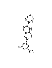 N#Cc1cc(F)cc(N2CCc3nc(-c4ncccn4)ncc3C2)c1